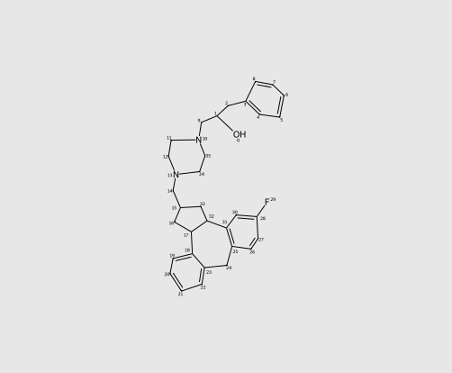 OC(Cc1ccccc1)CN1CCN(CC2CC3c4ccccc4Cc4ccc(F)cc4C3C2)CC1